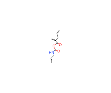 C=CCNC(=O)OC(=O)C(=C)CC=C